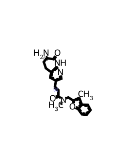 Cc1c(CN(C)C(=O)/C=C/c2cnc3c(c2)CC[C@@H](N)C(=O)N3)oc2ccccc12